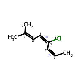 C/C=C\C(Cl)=C/C=C(C)C